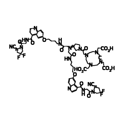 N#C[C@@H]1CC(F)(F)CN1C(=O)CNC(=O)c1ccnc2ccc(OCCCCNC(=O)CN(CC(=O)NCCCCOc3ccc4nccc(C(=O)NCC(=O)N5CC(F)(F)C[C@H]5C#N)c4c3)[C@H]3CCN(C(=O)CN4CCN(CC(=O)O)CCN(CC(=O)O)CCN(CC(=O)O)CC4)C3)cc12